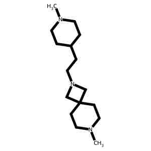 CN1CCC(CCN2CC3(CCN(C)CC3)C2)CC1